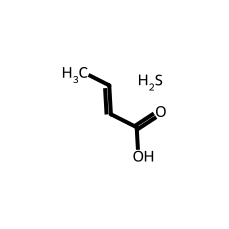 C/C=C/C(=O)O.S